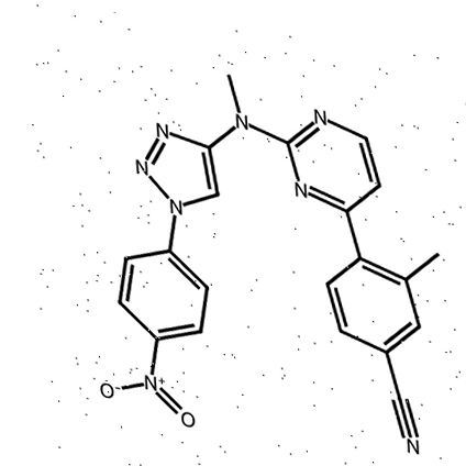 Cc1cc(C#N)ccc1-c1ccnc(N(C)c2cn(-c3ccc([N+](=O)[O-])cc3)nn2)n1